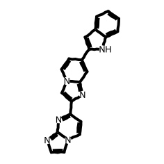 c1ccc2[nH]c(-c3ccn4cc(-c5ccn6ccnc6n5)nc4c3)cc2c1